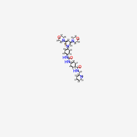 O=C(Nc1ccc(C(=O)NCc2ccccn2)cc1)Nc1ccc(N2C=C(N3CCOCC3)C=C(N3CCOCC3)S2)cc1